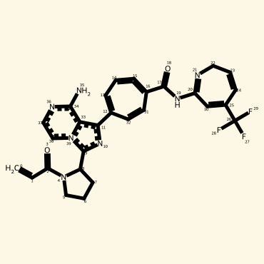 C=CC(=O)N1CCCC1c1nc(C2=CC=C=C(C(=O)NC3=NCC=CC(C(F)(F)F)=C3)C=C2)c2c(N)nccn12